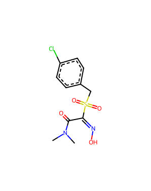 CN(C)C(=O)/C(=N\O)S(=O)(=O)Cc1ccc(Cl)cc1